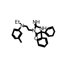 CCN(CCN1C(=N)NC(C2=CCCC=C2)(c2ccccc2)C1=O)c1cccc(C)c1